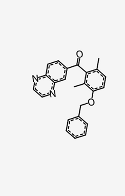 Cc1ccc(OCc2ccccc2)c(C)c1C(=O)c1ccc2nccnc2c1